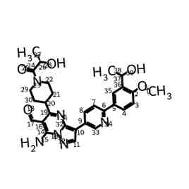 COc1ccc(-c2ccc(-c3cnn4c(N)c(C=O)c(C5CCN(C(=O)[C@@H](C)O)CC5)nc34)cn2)cc1C(C)O